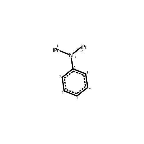 CC(C)N(c1ccccc1)C(C)C